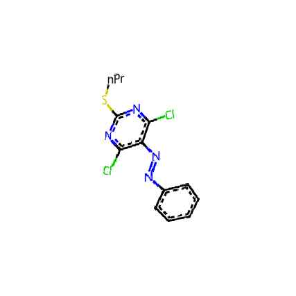 CCCSc1nc(Cl)c(/N=N/c2ccccc2)c(Cl)n1